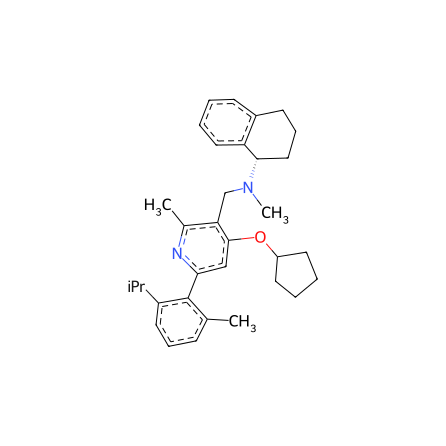 Cc1cccc(C(C)C)c1-c1cc(OC2CCCC2)c(CN(C)[C@H]2CCCc3ccccc32)c(C)n1